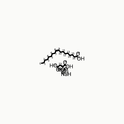 CCCCCCCC/C=C\CCCCCCCC(=O)O.O=C(O)CC(C(=O)O)S(=O)(=O)O.[NaH]